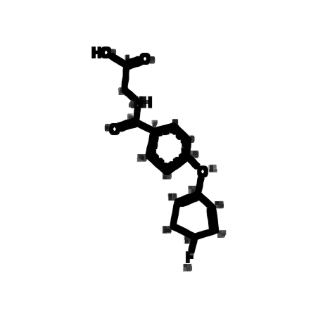 O=C(O)CNC(=O)c1ccc(OC2=CCC(F)C=C2)cc1